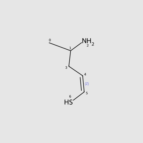 CC(N)C/C=C\S